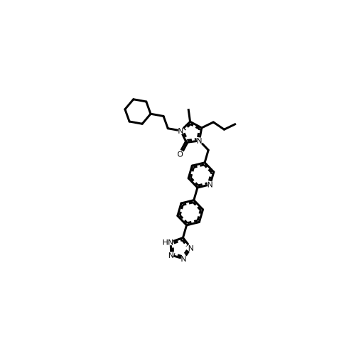 CCCc1c(C)n(CCC2CCCCC2)c(=O)n1Cc1ccc(-c2ccc(-c3nnn[nH]3)cc2)nc1